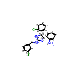 Nc1ccccc1[C@@H]1N=C(NCc2cccc(F)c2)N[C@@H]1c1ccccc1Cl